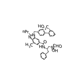 CCCc1nc2c(C)cc(C(=O)N[C@H](Cc3ccccc3)CN(O)C=O)cc2n1Cc1ccc(-c2ccccc2C(=O)O)cc1